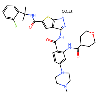 CCOC(=O)n1nc(NC(=O)c2ccc(N3CCN(C)CC3)cc2NC(=O)C2CCOCC2)c2cc(C(=O)NC(C)(C)c3ccccc3F)sc21